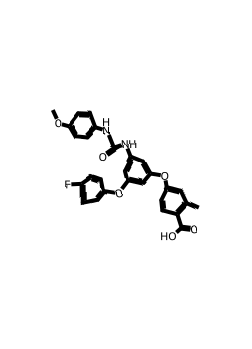 COc1ccc(NC(=O)Nc2cc(Oc3ccc(F)cc3)cc(Oc3ccc(C(=O)O)c(C)c3)c2)cc1